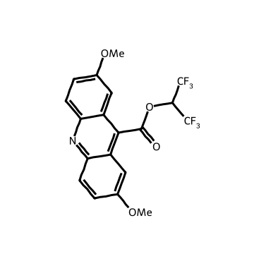 COc1ccc2nc3ccc(OC)cc3c(C(=O)OC(C(F)(F)F)C(F)(F)F)c2c1